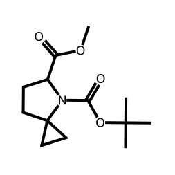 COC(=O)C1CCC2(CC2)N1C(=O)OC(C)(C)C